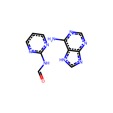 Nc1ncnc2nc[nH]c12.O=CNc1ncccn1